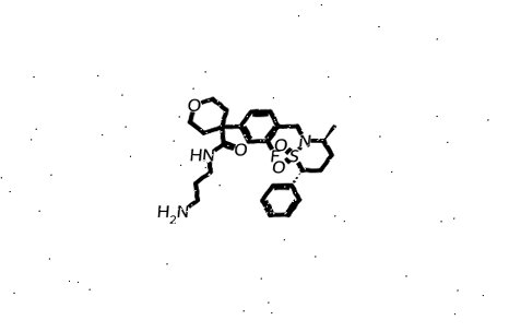 C[C@H]1CC[C@H](c2ccccc2)S(=O)(=O)N1Cc1ccc(C2(C(=O)NCCCN)CCOCC2)cc1F